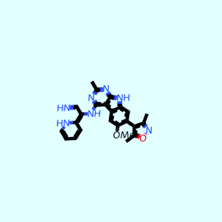 COc1cc2c(cc1-c1c(C)noc1C)[nH]c1nc(C)nc(N/C(C=N)=C3\C=CC=CN3)c12